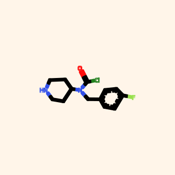 O=C(Cl)N(Cc1ccc(F)cc1)C1CCNCC1